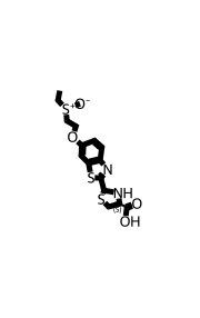 CC[S+]([O-])CCOc1ccc2nc(C3N[C@@H](C(=O)O)CS3)sc2c1